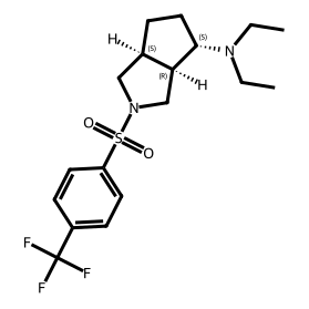 CCN(CC)[C@H]1CC[C@@H]2CN(S(=O)(=O)c3ccc(C(F)(F)F)cc3)C[C@@H]21